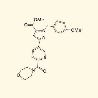 COC(=O)c1cc(-c2ccc(C(=O)N3CCOCC3)cc2)nn1Cc1ccc(OC)cc1